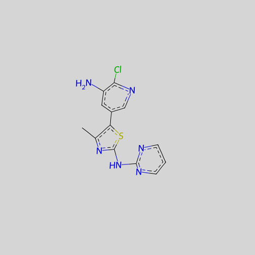 Cc1nc(Nc2ncccn2)sc1-c1cnc(Cl)c(N)c1